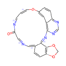 O=C1\C=N/C=c2/ccc3c(/c2=N/c2ncnc4ccc(cc24)O/C=C\C=N/1)OCO3